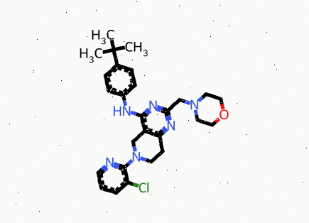 CC(C)(C)c1ccc(Nc2nc(CN3CCOCC3)nc3c2CN(c2ncccc2Cl)CC3)cc1